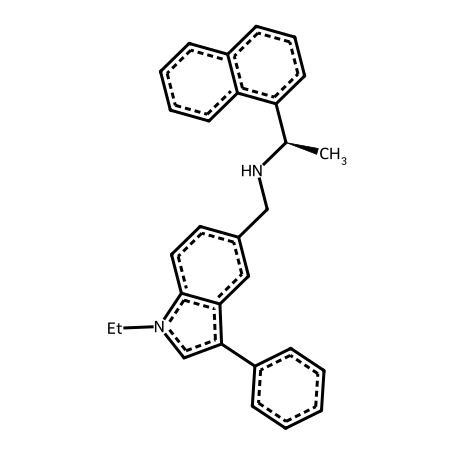 CCn1cc(-c2ccccc2)c2cc(CN[C@H](C)c3cccc4ccccc34)ccc21